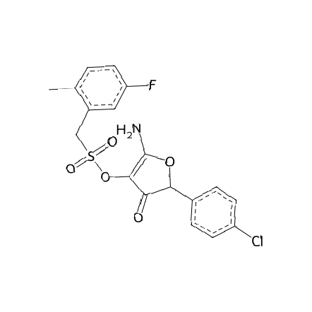 Cc1ccc(F)cc1CS(=O)(=O)OC1=C(N)OC(c2ccc(Cl)cc2)C1=O